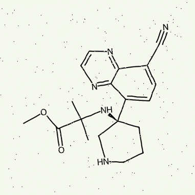 COC(=O)C(C)(C)N[C@@]1(c2ccc(C#N)c3nccnc23)CCCNC1